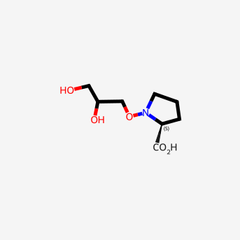 O=C(O)[C@@H]1CCCN1OCC(O)CO